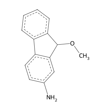 COC1c2ccccc2-c2ccc(N)cc21